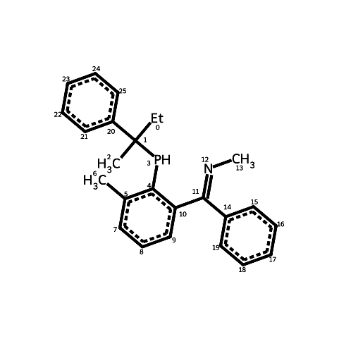 CCC(C)(Pc1c(C)cccc1/C(=N/C)c1ccccc1)c1ccccc1